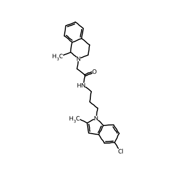 Cc1cc2cc(Cl)ccc2n1CCCNC(=O)CN1CCc2ccccc2C1C